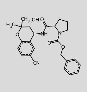 CC1(C)Oc2ccc(C#N)cc2[C@H](NC(=O)[C@@H]2CCCN2C(=O)OCc2ccccc2)[C@H]1O